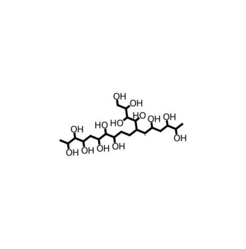 CC(O)C(O)CC(O)[CH]C(CCC(O)C(O)C(O)CC(O)C(O)C(C)O)C(O)C(O)C(O)CO